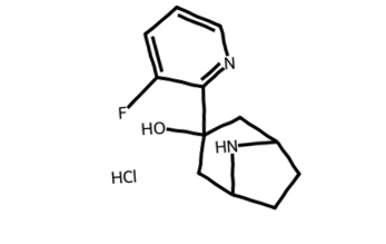 Cl.OC1(c2ncccc2F)CC2CCC(C1)N2